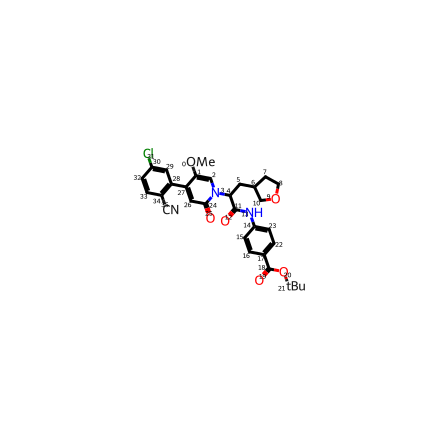 COc1cn(C(CC2CCOC2)C(=O)Nc2ccc(C(=O)OC(C)(C)C)cc2)c(=O)cc1-c1cc(Cl)ccc1C#N